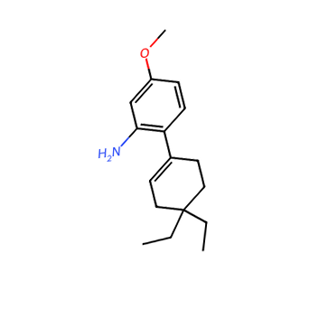 CCC1(CC)CC=C(c2ccc(OC)cc2N)CC1